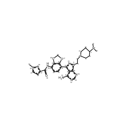 CN(C)C1CCN(CCn2nc(-c3ccc(NC(=O)c4ccn(C)n4)c4c3OCO4)c3c(N)ncnc32)CC1